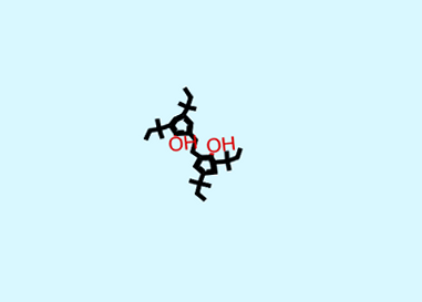 CCC(C)(C)c1cc(CCc2cc(C(C)(C)CC)cc(C(C)(C)CC)c2O)c(O)c(C(C)(C)CC)c1